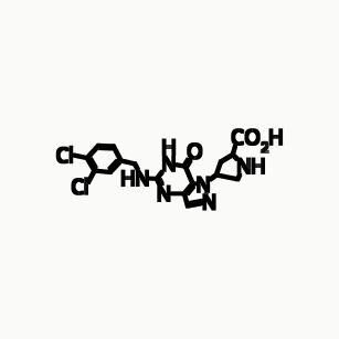 O=C(O)C1CC(n2ncc3nc(NCc4ccc(Cl)c(Cl)c4)[nH]c(=O)c32)CN1